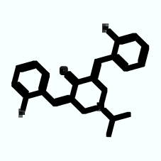 CC(C)N1CC(=Cc2ccccc2F)C(=O)C(=Cc2ccccc2F)C1